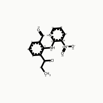 CCC(Cl)c1cccc(C=O)c1Nc1ncccc1[N+](=O)[O-]